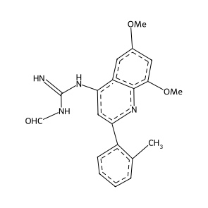 COc1cc(OC)c2nc(-c3ccccc3C)cc(NC(=N)NC=O)c2c1